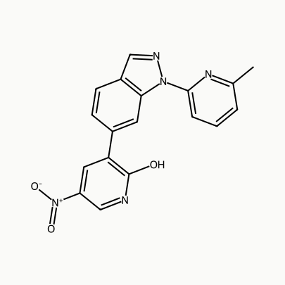 Cc1cccc(-n2ncc3ccc(-c4cc([N+](=O)[O-])cnc4O)cc32)n1